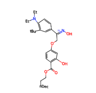 CCCCCCCCCCCCOC(=O)c1ccc(OC/C(=N\O)c2ccc(N(CC)CC)c(C(C)(C)C)c2)cc1O